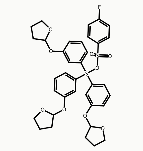 O=S(=O)(OS(c1cccc(OC2CCCO2)c1)(c1cccc(OC2CCCO2)c1)c1cccc(OC2CCCO2)c1)c1ccc(F)cc1